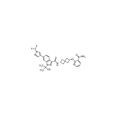 CC(C)(C#N)n1nc(C(=O)N[C@H]2CC3(C2)C[C@H](Oc2ncccc2C(N)=O)C3)c2ccc(-c3cnn(C(F)F)c3)cc21